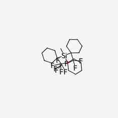 C[Si](C1(C(F)(F)F)CCCCC1)(C1(C(F)(F)F)CCCCC1)C1(C(F)(F)F)CCCCC1